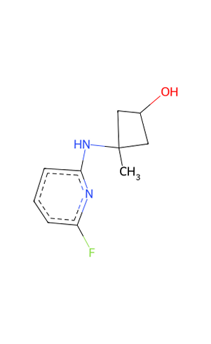 CC1(Nc2cccc(F)n2)CC(O)C1